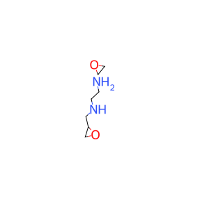 C1CO1.NCCNCC1CO1